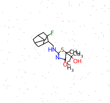 CC(C)(O)C1(C)SC(NCC2C3CC4CC(C3)CC2(F)C4)=NC1=O